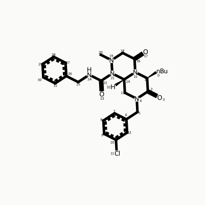 CCCC[C@H]1C(=O)N(Cc2cccc(Cl)c2)C[C@H]2N1C(=O)CN(C)N2C(=O)NCc1ccccc1